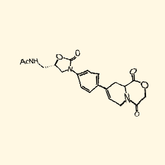 CC(=O)NC[C@H]1CN(c2ccc(C3=CCN4C(=O)COC(=O)C4C3)cc2)C(=O)O1